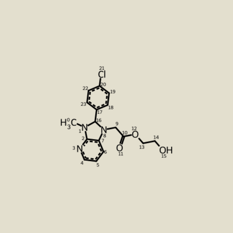 CN1c2ncccc2N(CC(=O)OCCO)C1c1ccc(Cl)cc1